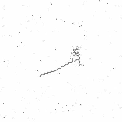 CCCCCCCCCCCCCCCCCCCC(=O)OCC(CCO)Cc1nc2nc(N)[nH]c(=O)c2[nH]1